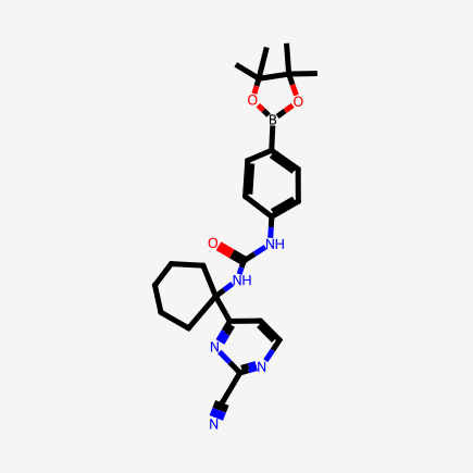 CC1(C)OB(c2ccc(NC(=O)NC3(c4ccnc(C#N)n4)CCCCC3)cc2)OC1(C)C